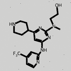 CN(CCO)c1nc(Nc2cc(C(F)(F)F)ccn2)cc(C2CCNCC2)n1